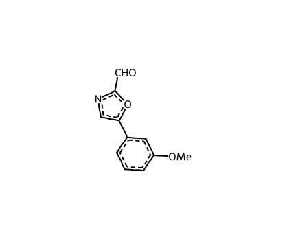 COc1cccc(-c2cnc(C=O)o2)c1